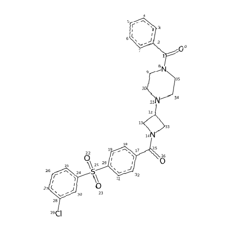 O=C(c1ccccc1)N1CCN(C2CN(C(=O)c3ccc(S(=O)(=O)c4cccc(Cl)c4)cc3)C2)CC1